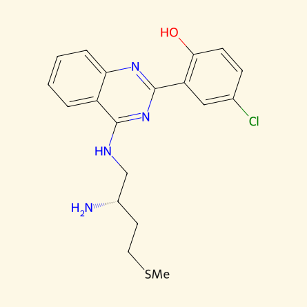 CSCC[C@H](N)CNc1nc(-c2cc(Cl)ccc2O)nc2ccccc12